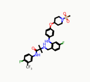 CC(C)(NCc1ccc(F)cc1Nc1ccc(OC2CCN(S(C)(=O)=O)CC2)cc1)C(=O)Nc1ccc(F)c(C(F)(F)F)c1